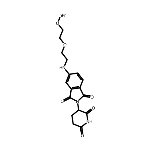 CCCOCCOCCNc1ccc2c(c1)C(=O)N(C1CCC(=O)NC1=O)C2=O